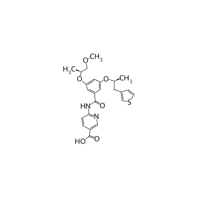 COC[C@H](C)Oc1cc(O[C@@H](C)Cc2ccsc2)cc(C(=O)Nc2ccc(C(=O)O)cn2)c1